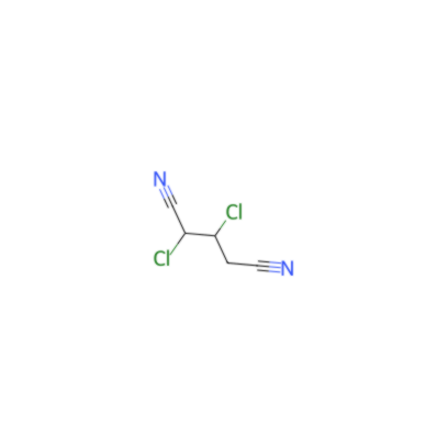 N#CCC(Cl)C(Cl)C#N